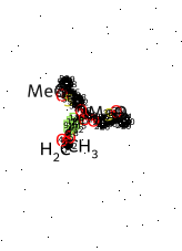 C=C(C)C(=O)OCC(F)(F)C(F)(F)C(F)(F)COC(COc1ccc2cc(-c3ccccc3OC)c(=O)sc2c1)COc1ccc2cc(-c3ccccc3OC)c(=O)sc2c1